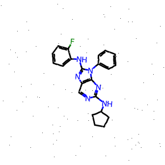 Fc1ccccc1Nc1nc2cnc(NC3CCCC3)nc2n1-c1ccccc1